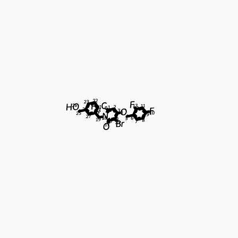 Cc1cc(OCc2ccc(F)cc2F)c(Br)c(=O)n1Cc1cccc(CO)c1